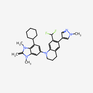 C=C1N(C)c2cc(N3CCCc4cc(-c5cnn(C)c5)c(C(F)F)cc43)cc(C3CCCCC3)c2N1C